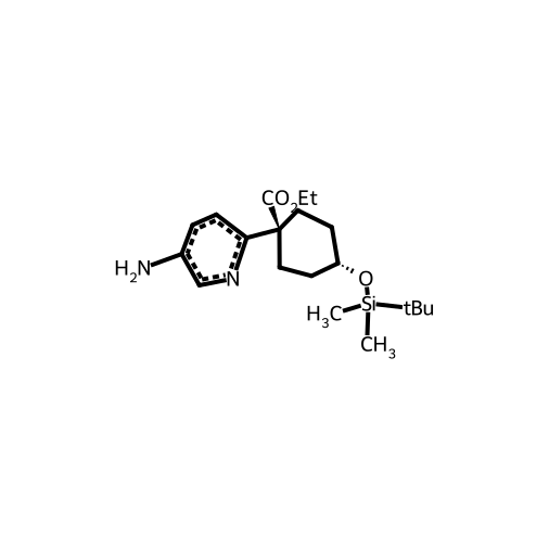 CCOC(=O)[C@]1(c2ccc(N)cn2)CC[C@@H](O[Si](C)(C)C(C)(C)C)CC1